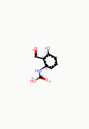 O=Cc1c(Cl)cccc1NC(=O)O